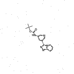 CC(C)(C)OC(=O)Nc1cncc(-c2nnc3ccccn23)c1